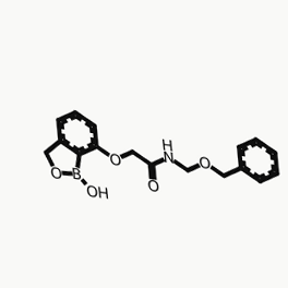 O=C(COc1cccc2c1B(O)OC2)NCOCc1ccccc1